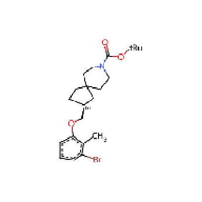 Cc1c(Br)cccc1OC[C@H]1CCC2(CCN(C(=O)OC(C)(C)C)CC2)C1